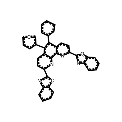 c1ccc(-c2c(-c3ccccc3)c3ccc(-c4nc5ccccc5o4)nc3c3nc(-c4nc5ccccc5o4)ccc23)cc1